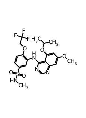 CNS(=O)(=O)c1ccc(OCC(F)(F)F)c(Nc2ncnc3cc(OC)cc(OC(C)C)c23)c1